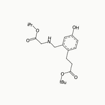 CC(C)OC(=O)CNCc1cc(O)ccc1CCC(=O)OC(C)(C)C